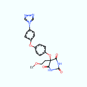 CCOCCC1(Oc2ccc(Oc3ccc(-n4cnnc4)cc3)cc2)C(=O)NC(=O)NC1=O